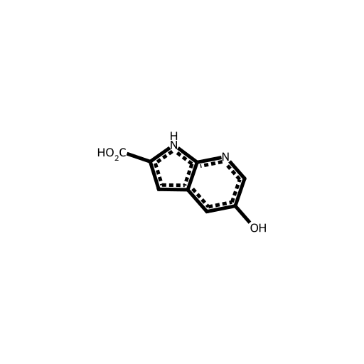 O=C(O)c1cc2cc(O)cnc2[nH]1